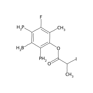 Bc1c(P)c(F)c(C)c(OC(=O)C(C)I)c1P